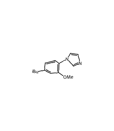 CCC(C)c1ccc(-n2ccnc2)c(OC)c1